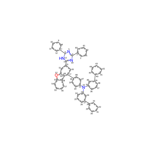 c1ccc(C2=NC(c3ccccc3)NC(c3cc(-c4ccc(N(c5cccc(-c6ccccc6)c5)c5cccc(-c6ccccc6)c5)cc4)c4c(c3)oc3ccccc34)=N2)cc1